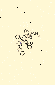 NC(=O)C(=O)C1(NC(=O)[C@@H]2C[C@H](n3ccccc3=O)CN2C(=O)/C(CC2CCCCC2)=N/C(=O)c2ccc3ccccc3c2)CCOCC1